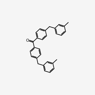 Cc1cccc(Cc2ccc(C(=O)c3ccc(Cc4cccc(C)c4)cc3)cc2)c1